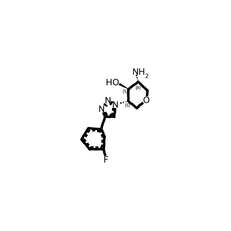 N[C@@H]1COC[C@H](n2cc(-c3cccc(F)c3)nn2)[C@H]1O